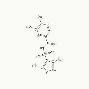 Cc1ccc(C(=O)NS(=O)(=O)c2c(C)noc2C)cc1C